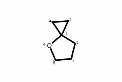 [CH]1CCC2(CC2)O1